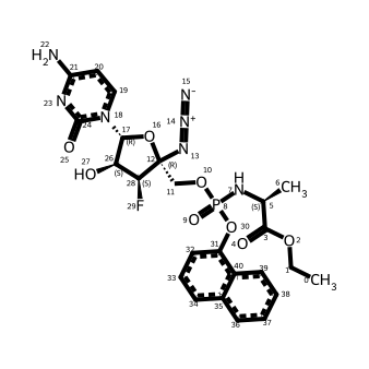 CCOC(=O)[C@H](C)NP(=O)(OC[C@@]1(N=[N+]=[N-])O[C@@H](n2ccc(N)nc2=O)[C@H](O)[C@@H]1F)Oc1cccc2ccccc12